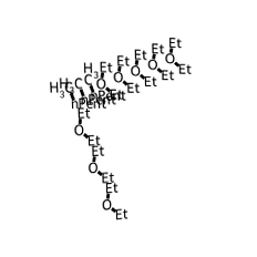 CCCCCC.CCCCCC.CCCCCC.CCOCC.CCOCC.CCOCC.CCOCC.CCOCC.CCOCC.CCOCC.CCOCC